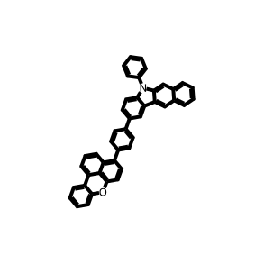 c1ccc(-n2c3ccc(-c4ccc(-c5ccc6c7c(cccc57)-c5ccccc5O6)cc4)cc3c3cc4ccccc4cc32)cc1